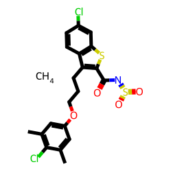 C.Cc1cc(OCCCc2c(C(=O)N=S(=O)=O)sc3cc(Cl)ccc23)cc(C)c1Cl